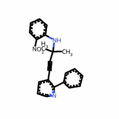 CC(C)(C#Cc1cccnc1-c1ccccc1)Nc1ccccc1[N+](=O)[O-]